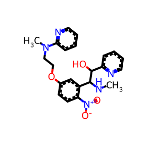 CNC(c1cc(OCCN(C)c2ccccn2)ccc1[N+](=O)[O-])C(O)c1ccccn1